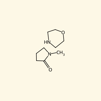 C1COCCN1.CN1CCCC1=O